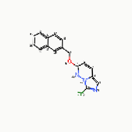 Clc1ncc2ccc(OCc3ccc4ccccc4c3)nn12